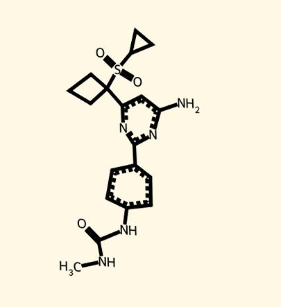 CNC(=O)Nc1ccc(-c2nc(N)cc(C3(S(=O)(=O)C4CC4)CCC3)n2)cc1